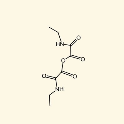 CCNC(=O)C(=O)OC(=O)C(=O)NCC